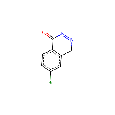 O=C1N=NCc2cc(Br)ccc21